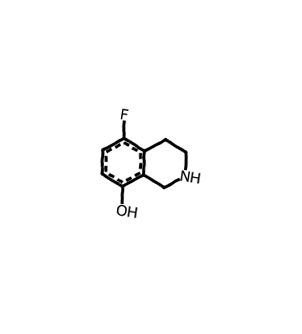 Oc1ccc(F)c2c1CNCC2